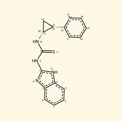 S=C(Nc1nc2ccccc2[nH]1)N[C@@H]1C[C@@H]1c1ccccn1